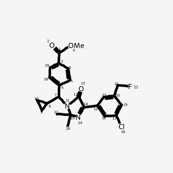 COC(=O)c1ccc(C(C2CC2)N2C(=O)C(c3cc(Cl)cc(CF)c3)=NC2(C)C)cc1